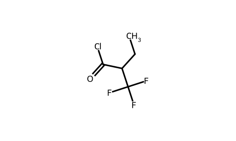 CCC(C(=O)Cl)C(F)(F)F